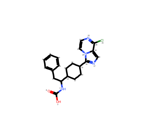 O=C(O)NC(Cc1ccccc1)C1CCC(c2ncc3c(Cl)nccn23)CC1